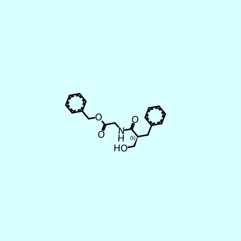 O=C(CNC(=O)[C@H](CO)Cc1ccccc1)OCc1ccccc1